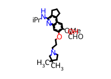 COc1cc2c3c(c(NC(C)C)nc2cc1OCCCN1CCC(C)(C)C1)CCC3.O=CO